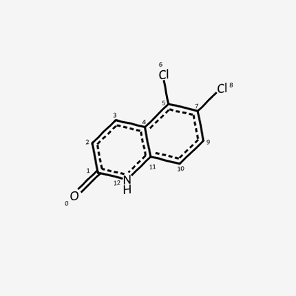 O=c1ccc2c(Cl)c(Cl)ccc2[nH]1